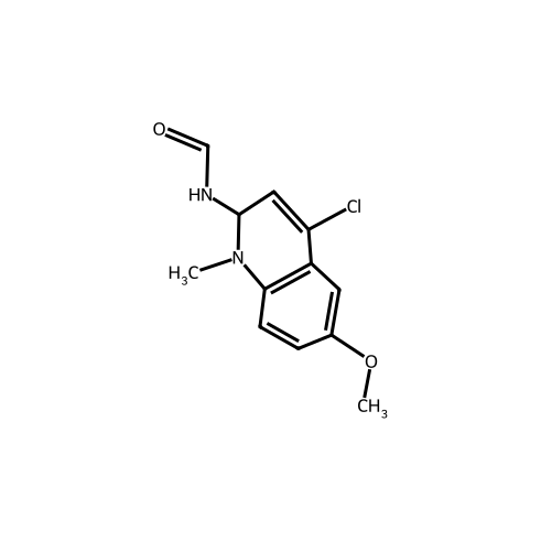 COc1ccc2c(c1)C(Cl)=CC(NC=O)N2C